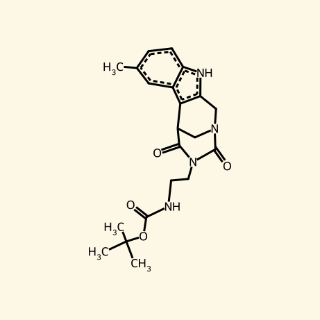 Cc1ccc2[nH]c3c(c2c1)C1CN(C3)C(=O)N(CCNC(=O)OC(C)(C)C)C1=O